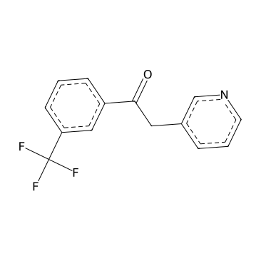 O=C(Cc1cccnc1)c1cccc(C(F)(F)F)c1